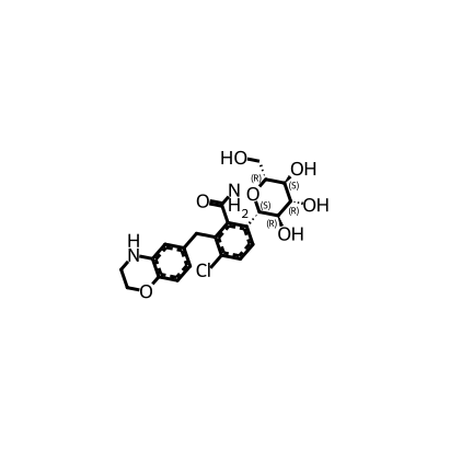 NC(=O)c1c([C@@H]2O[C@H](CO)[C@@H](O)[C@H](O)[C@H]2O)ccc(Cl)c1Cc1ccc2c(c1)NCCO2